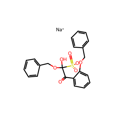 O=C(c1ccccc1OCc1ccccc1)C(O)(OCc1ccccc1)S(=O)(=O)[O-].[Na+]